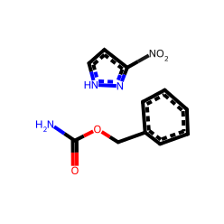 NC(=O)OCc1ccccc1.O=[N+]([O-])c1cc[nH]n1